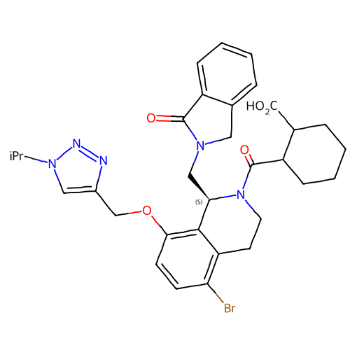 CC(C)n1cc(COc2ccc(Br)c3c2[C@@H](CN2Cc4ccccc4C2=O)N(C(=O)C2CCCCC2C(=O)O)CC3)nn1